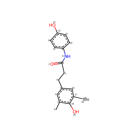 Cc1cc(CCC(=O)Nc2ccc(O)cc2)cc(C(C)(C)C)c1O